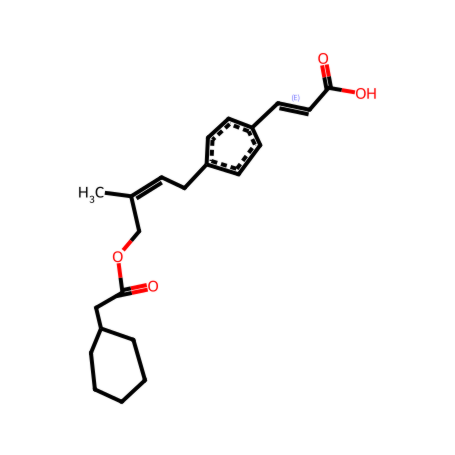 CC(=CCc1ccc(/C=C/C(=O)O)cc1)COC(=O)CC1CCCCC1